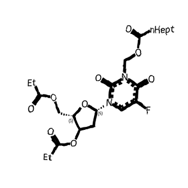 CCCCCCCC(=O)OCn1c(=O)c(F)cn([C@@H]2CC(OC(=O)CC)[C@H](COC(=O)CC)O2)c1=O